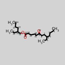 CCCCC(CC)CCC(=O)CCCCC(=O)OCC(CC)CCCC